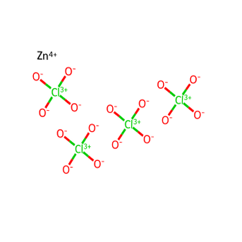 [O-][Cl+3]([O-])([O-])[O-].[O-][Cl+3]([O-])([O-])[O-].[O-][Cl+3]([O-])([O-])[O-].[O-][Cl+3]([O-])([O-])[O-].[Zn+4]